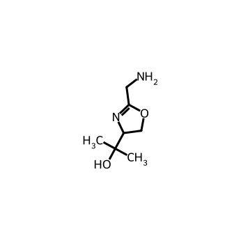 CC(C)(O)C1COC(CN)=N1